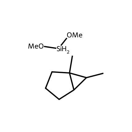 CC1C2CCCC12C.CO[SiH2]OC